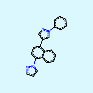 c1ccc(-n2cc(-c3ccc(-n4cccn4)c4ccccc34)cn2)cc1